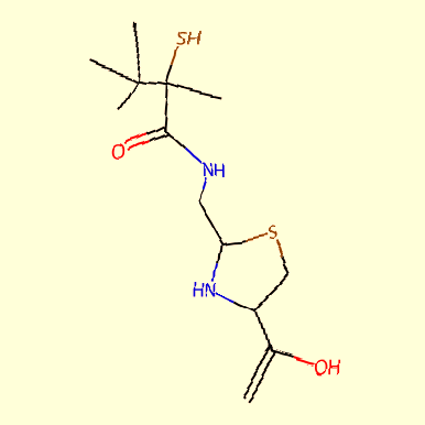 C=C(O)C1CSC(CNC(=O)C(C)(S)C(C)(C)C)N1